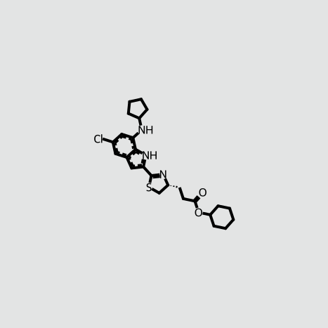 O=C(CC[C@@H]1CSC(c2cc3cc(Cl)cc(NC4CCCC4)c3[nH]2)=N1)OC1CCCCC1